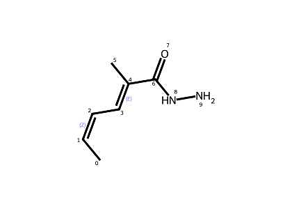 C/C=C\C=C(/C)C(=O)NN